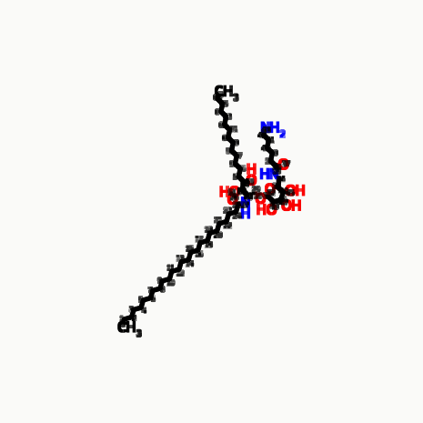 CCCCCCCCCCCCCCCCCCCCCCCCCC(=O)N[C@@H](COC1OC(CNC(=O)CCCCCN)C(O)C(O)C1O)[C@H](O)[C@H](O)CCCCCCCCCCCCCC